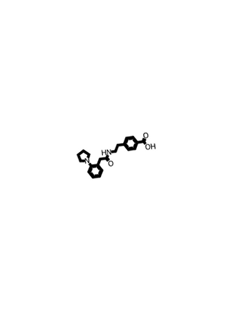 O=C(Cc1ccccc1N1CCCC1)NCCc1ccc(C(=O)O)cc1